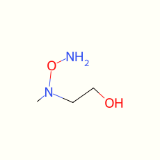 CN(CCO)ON